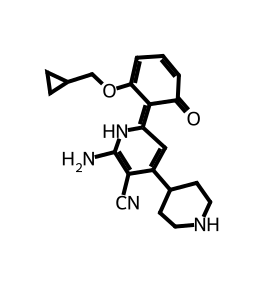 N#CC1=C(N)N/C(=C2/C(=O)C=CC=C2OCC2CC2)C=C1C1CCNCC1